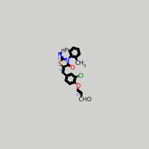 CCC/N=C1/S/C(=C/c2ccc(O/C=C/C=O)c(Cl)c2)C(=O)N1c1ccccc1C